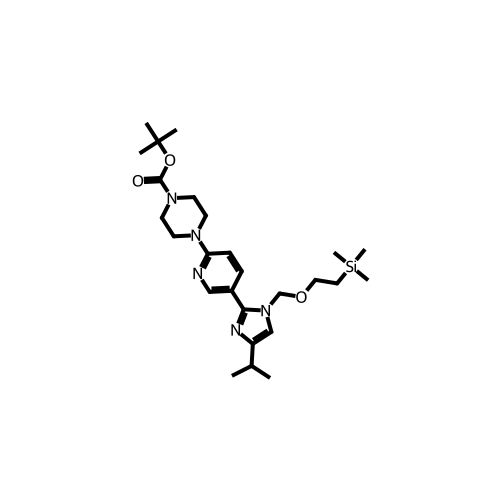 CC(C)c1cn(COCC[Si](C)(C)C)c(-c2ccc(N3CCN(C(=O)OC(C)(C)C)CC3)nc2)n1